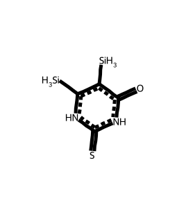 O=c1[nH]c(=S)[nH]c([SiH3])c1[SiH3]